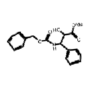 COC(=O)C(O)[C@H](NC(=O)OCc1ccccc1)c1ccccc1